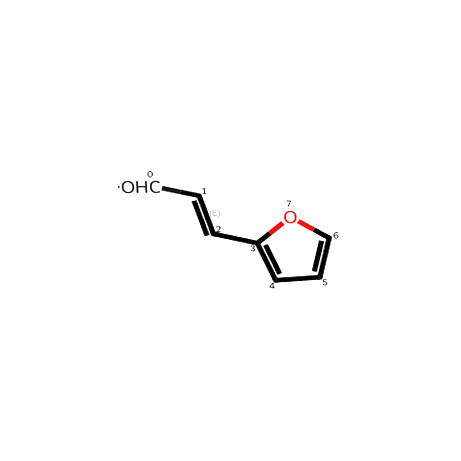 O=[C]/C=C/c1ccco1